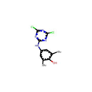 CC(C)(C)c1cc(Nc2nc(Cl)nc(Cl)n2)cc(C(C)(C)C)c1O